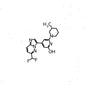 C[C@H]1CCCN(c2cc(-c3cnc4ccc(C(F)F)nn34)cc(O)n2)C1